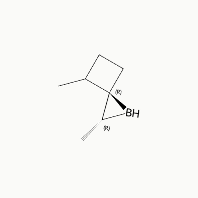 CC1CC[C@@]12B[C@@H]2C